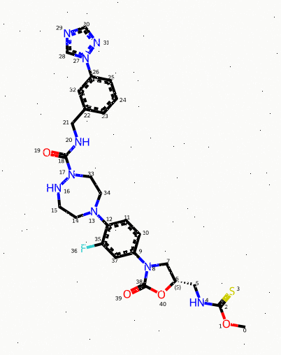 COC(=S)NC[C@H]1CN(c2ccc(N3CCNN(C(=O)NCc4cccc(-n5cncn5)c4)CC3)c(F)c2)C(=O)O1